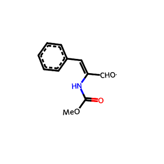 COC(=O)NC([C]=O)=Cc1ccccc1